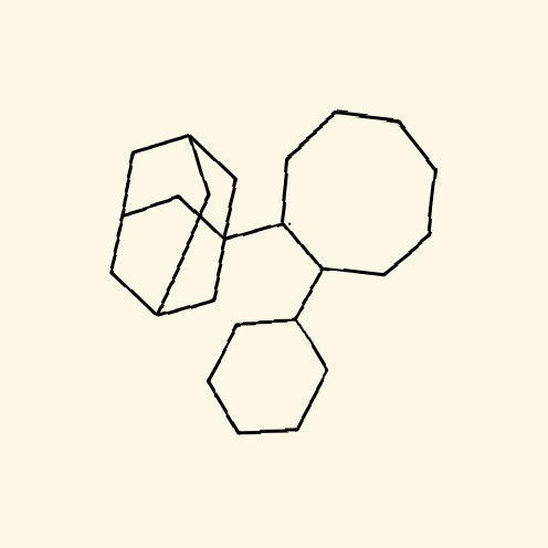 C1CCCC(C2CCCCC2)[C](C23CC4CC(CC(C4)C2)C3)CC1